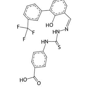 O=C(O)c1ccc(NC(=S)N/N=C\c2cccc(-c3cccc(C(F)(F)F)c3)c2O)cc1